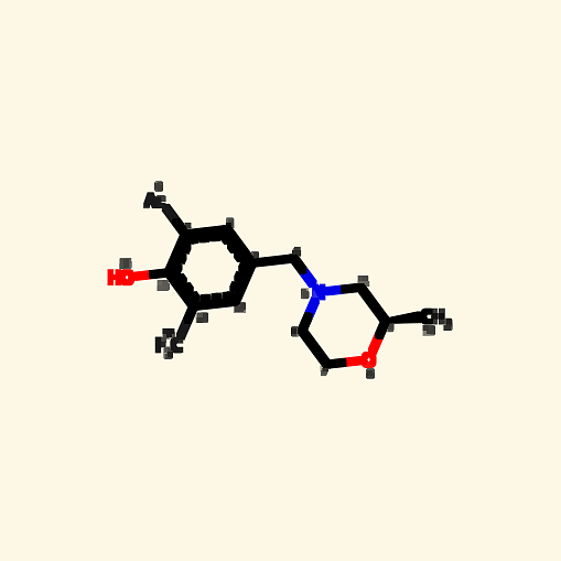 CC(=O)c1cc(CN2CCO[C@H](C)C2)cc(C(F)(F)F)c1O